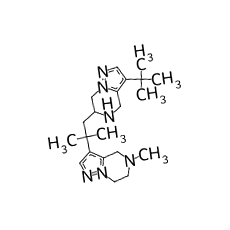 CN1CCn2ncc(C(C)(C)CC3Cn4ncc(C(C)(C)C)c4CN3)c2C1